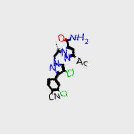 CC(=O)c1cc(C(N)=O)n([C@@H](C)Cn2cc(Cl)c(-c3ccc(C#N)c(Cl)c3)n2)n1